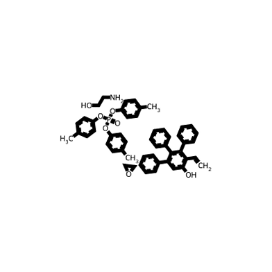 C1CO1.C=Cc1c(O)cc(-c2ccccc2)c(-c2ccccc2)c1-c1ccccc1.Cc1ccc(OP(=O)(Oc2ccc(C)cc2)Oc2ccc(C)cc2)cc1.NCCO